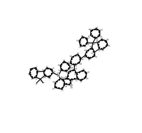 CC1(C)c2ccccc2-c2ccc(N(c3ccccc3)c3cccc4oc5c6ccccc6c(-c6cccc(-c7ccc8c(c7)C(c7ccccc7)(c7ccccc7)c7ccccc7-8)c6)cc5c34)cc21